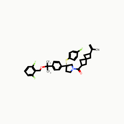 C=C(C#N)C1CC2(C1)CC(C(=O)N1CC[C@@](Sc3ccc(F)cc3)(c3ccc(C(OCc4c(F)cccc4F)(C(F)(F)F)C(F)(F)F)cc3)C1)C2